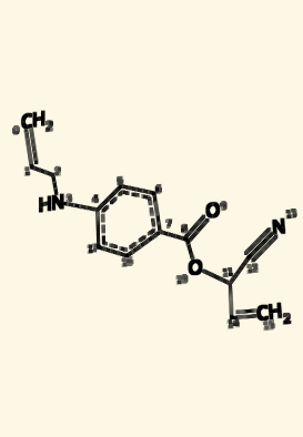 C=CCNc1ccc(C(=O)OC(C#N)C=C)cc1